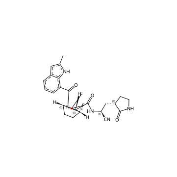 Cc1cc2cccc(C(=O)N3[C@H]4CC[C@@H]([C@H]3C(=O)N[C@H](C#N)C[C@@H]3CCNC3=O)C(F)(F)C4)c2[nH]1